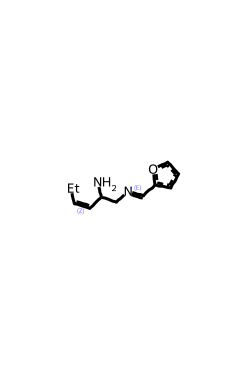 CC/C=C\C(N)C/N=C/c1ccco1